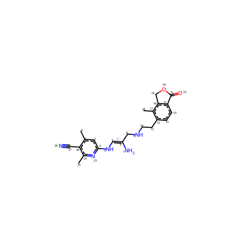 Cc1cc(N/C=C(\N)CNCCc2ccc3c(c2C)COC3=O)nc(C)c1C#N